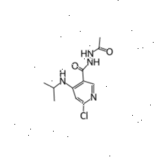 CC(=O)NNC(=O)c1cnc(Cl)cc1NC(C)C